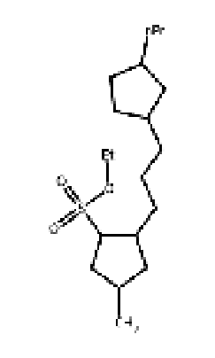 CCCC1CCC(CCCC2CC(C)CC2S(=O)(=O)OCC)C1